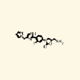 NCC1CN(c2ccc(-c3nc(Cn4cccn4)c[nH]3)c(F)c2)C(=O)O1